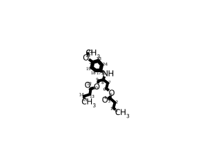 CCCC(=O)OCCC(COC(=O)CCC)Nc1ccc(OC)cc1